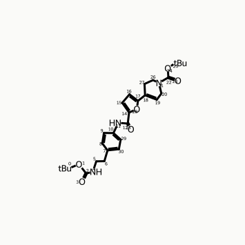 CC(C)(C)OC(=O)NCCc1ccc(NC(=O)c2ccc(C3=CCN(C(=O)OC(C)(C)C)CC3)o2)cc1